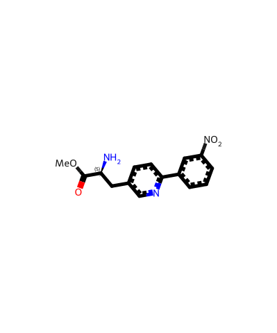 COC(=O)[C@@H](N)Cc1ccc(-c2cccc([N+](=O)[O-])c2)nc1